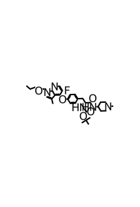 CCCOCn1cc(C)c2c(Oc3ccc(CC(NC(=O)OC(C)(C)C)C(=O)NC4CCN(C)CC4)cc3F)ccnc21